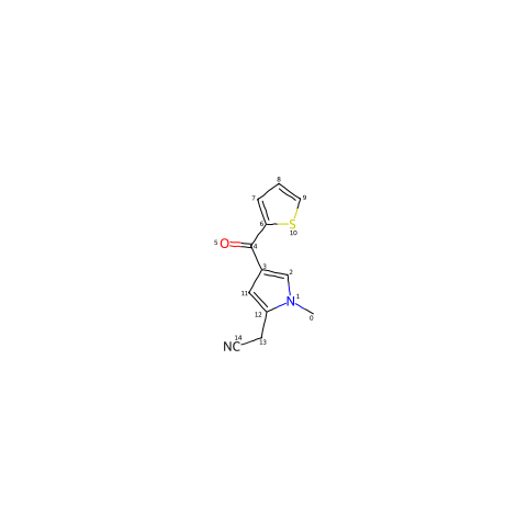 Cn1cc(C(=O)c2cccs2)cc1CC#N